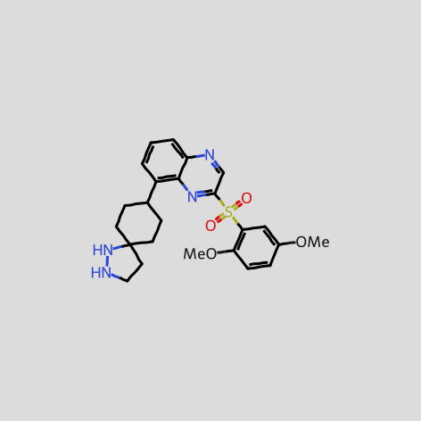 COc1ccc(OC)c(S(=O)(=O)c2cnc3cccc(C4CCC5(CCNN5)CC4)c3n2)c1